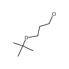 CC(C)(C)OCCCCl